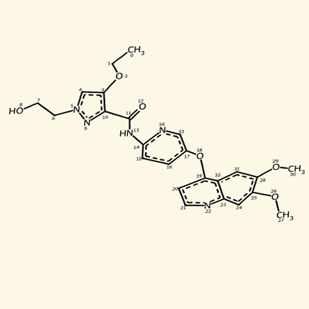 CCOc1cn(CCO)nc1C(=O)Nc1ccc(Oc2ccnc3cc(OC)c(OC)cc23)cn1